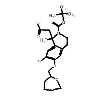 CC(C)(C)OC(=O)N1CCc2cc(OCC3CCCCO3)c(Br)cc2C1(C)CC(=O)O